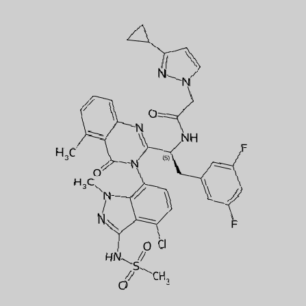 Cc1cccc2nc([C@H](Cc3cc(F)cc(F)c3)NC(=O)Cn3ccc(C4CC4)n3)n(-c3ccc(Cl)c4c(NS(C)(=O)=O)nn(C)c34)c(=O)c12